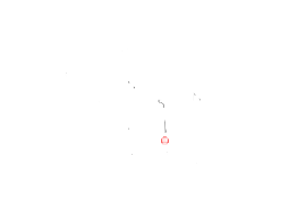 CN=S1(=O)CC2CCC(C1)N2CC(C)C